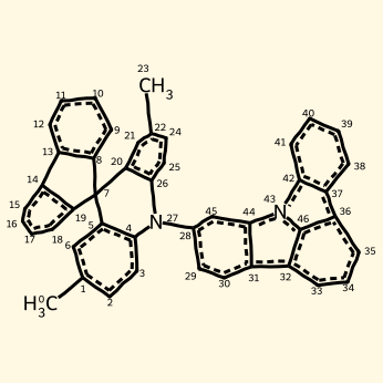 Cc1ccc2c(c1)C1(c3ccccc3-c3ccccc31)c1cc(C)ccc1N2c1ccc2c3cccc4c5ccccc5n(c2c1)c43